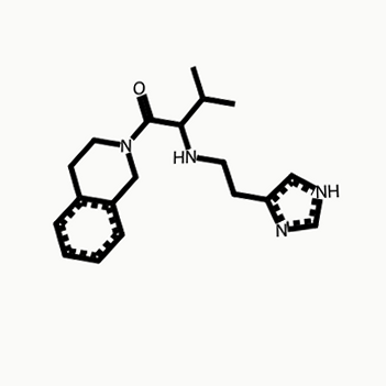 CC(C)C(NCCc1c[nH]cn1)C(=O)N1CCc2ccccc2C1